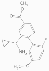 COC(=O)c1ccc(-c2cc(OC)ccc2F)c(C(N)C2CC2)c1